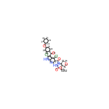 CC(C)(C)OC(=O)NN(C(=O)c1cnc2[nH]cc(C(=O)c3ccc(Oc4ccccc4)cc3Cl)c2c1Cl)C1CCOCC1